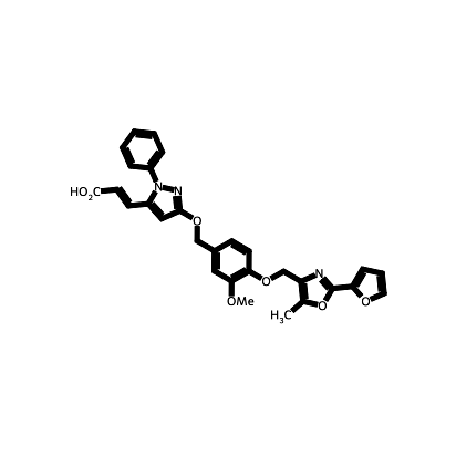 COc1cc(COc2cc(C=CC(=O)O)n(-c3ccccc3)n2)ccc1OCc1nc(-c2ccco2)oc1C